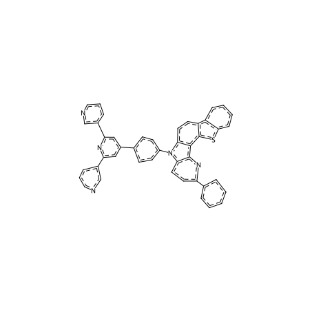 c1ccc(-c2ccc3c(n2)c2c4sc5ccccc5c4ccc2n3-c2ccc(-c3cc(-c4cccnc4)nc(-c4cccnc4)c3)cc2)cc1